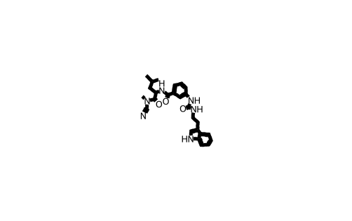 CC(C)CC(NC(=O)c1cccc(NC(=O)NCCc2c[nH]c3ccccc23)c1)C(=O)N(C)C#N